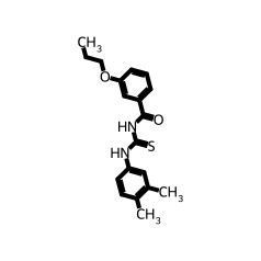 CCCOc1cccc(C(=O)NC(=S)Nc2ccc(C)c(C)c2)c1